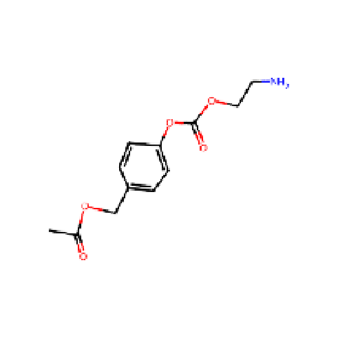 CC(=O)OCc1ccc(OC(=O)OCCN)cc1